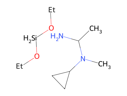 CC(N)N(C)C1CC1.CCO[SiH2]OCC